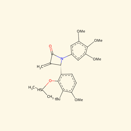 C=C1C(=O)N(c2cc(OC)c(OC)c(OC)c2)[C@@H]1c1ccc(OC)c(C(C)(C)C)c1O[SiH](C)C